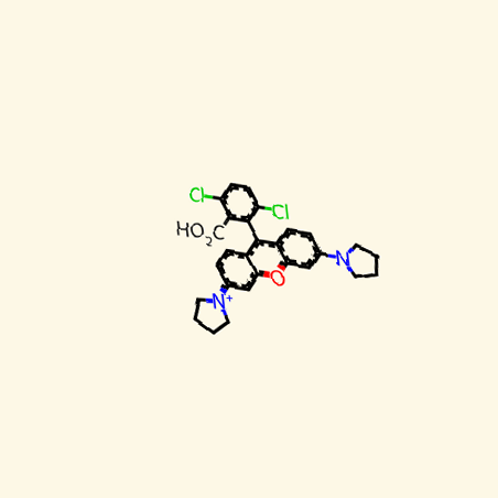 O=C(O)c1c(Cl)ccc(Cl)c1-c1c2ccc(=[N+]3CCCC3)cc-2oc2cc(N3CCCC3)ccc12